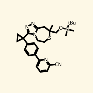 CC1(CO[Si](C)(C)C(C)(C)C)Cc2nnc(C3(c4ccc(-c5cccc(C#N)n5)cc4)CC3)n2CCS1